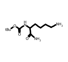 CC(C)(C)OC(=O)NC(CCCCN)C(N)=O